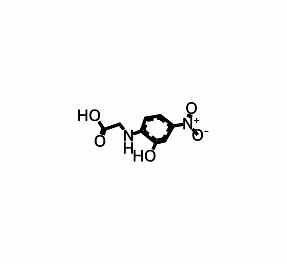 O=C(O)CNc1ccc([N+](=O)[O-])cc1O